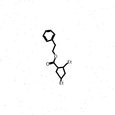 CCC1CC(CC)C(C(=O)OCCc2ccccc2)C1